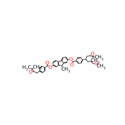 COCCCC(CC1OC1(C)C)c1ccc(C(=O)Oc2ccc3c(c2)C(C)c2cc(OC(=O)c4ccc(CC5OC5(C)C)cc4)ccc2-3)cc1